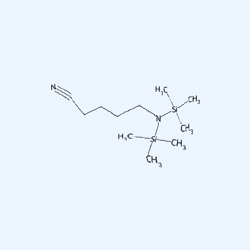 C[Si](C)(C)N(CCCCC#N)[Si](C)(C)C